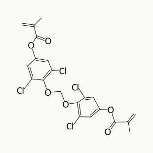 C=C(C)C(=O)Oc1cc(Cl)c(OCOc2c(Cl)cc(OC(=O)C(=C)C)cc2Cl)c(Cl)c1